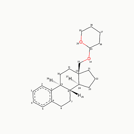 c1ccc2c(c1)CC[C@@H]1[C@@H]2CC[C@]2(COC3CCCCO3)CCC[C@@H]12